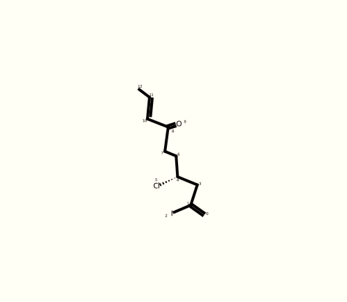 C=C(I)C[C@H](Cl)CCC(=O)/C=C/C